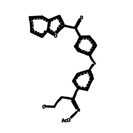 CC(=O)ON=C(CCCl)c1ccc(Sc2ccc(C(=O)c3cc4ccccc4o3)cc2)cc1